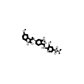 COc1ccc2c(c1)[C@]1(C[C@H]1c1ccc3c(Nc4ncc(S(=O)(=O)N(C)C)cc4OC)n[nH]c3c1)C(=O)N2